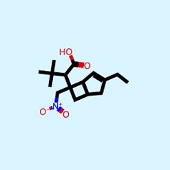 CCC1=CC2C(C1)CC2(C[N+](=O)[O-])C(C(=O)O)C(C)(C)C